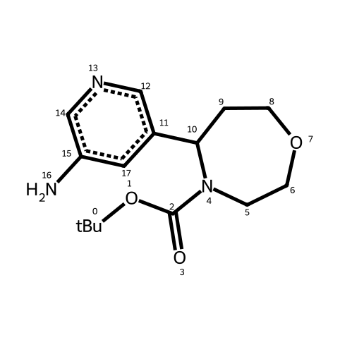 CC(C)(C)OC(=O)N1CCOCCC1c1cncc(N)c1